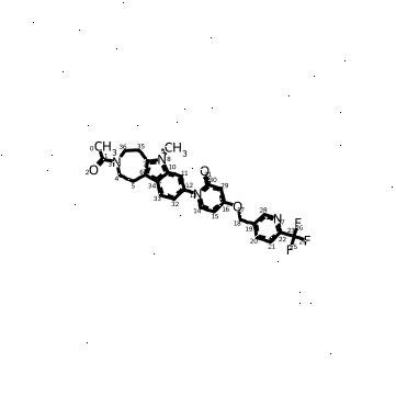 CC(=O)N1CCc2c(n(C)c3cc(-n4ccc(OCc5ccc(C(F)(F)F)nc5)cc4=O)ccc23)CC1